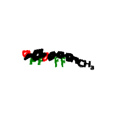 C/C=C/c1ccc(-c2ccc(-c3ccc(OCC4CCC(C5CO5)C(F)=C4F)cc3)c(F)c2F)cc1